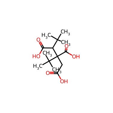 CC(C)(C)C(C(=O)O)C(CC(=O)O)(C(=O)O)C(C)(C)C